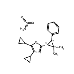 CC1(C)[C@H](c2ccccc2)[C@H]1c1nc(C2CC2)c(C2CC2)o1.N[SH](=O)=O